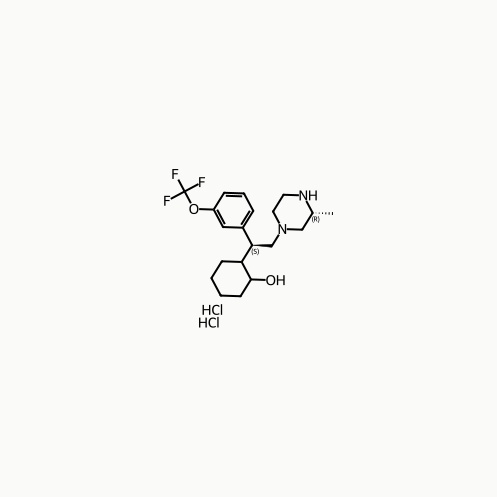 C[C@@H]1CN(C[C@H](c2cccc(OC(F)(F)F)c2)C2CCCCC2O)CCN1.Cl.Cl